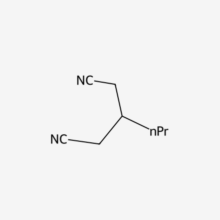 CCCC(CC#N)CC#N